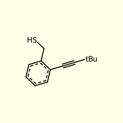 CC(C)(C)C#Cc1ccccc1CS